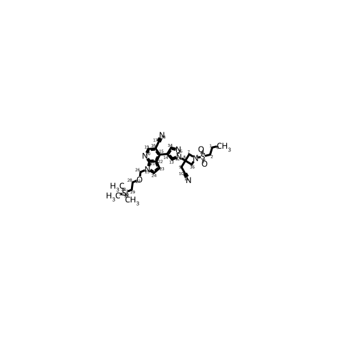 CCCS(=O)(=O)N1CC(CC#N)(n2cc(-c3c(C#N)cnc4c3ccn4COCC[Si](C)(C)C)cn2)C1